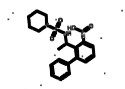 CC(NS(=O)(=O)N1CCCCC1)c1c(-c2ccccc2)cccc1[PH](=O)O